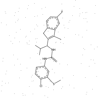 C=C(Nc1ccc(Cl)c(SC)c1)NC(C1=C(C)c2cc(F)ccc2C1)C(C)C